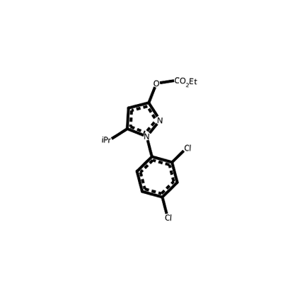 CCOC(=O)Oc1cc(C(C)C)n(-c2ccc(Cl)cc2Cl)n1